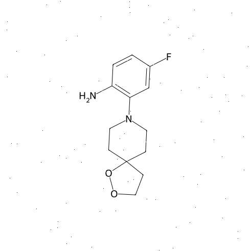 Nc1ccc(F)cc1N1CCC2(CCOO2)CC1